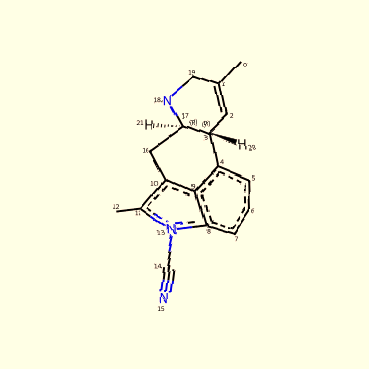 CC1=C[C@@H]2c3cccc4c3c(c(C)n4C#N)C[C@H]2[N]C1